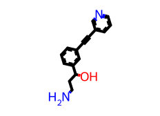 NCCC(O)c1cccc(C#Cc2cccnc2)c1